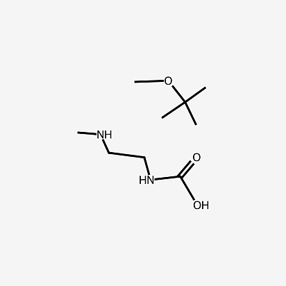 CNCCNC(=O)O.COC(C)(C)C